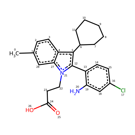 Cc1ccc2c(C3CCCCC3)c(-c3ccc(Cl)cc3N)n(CCC(=O)O)c2c1